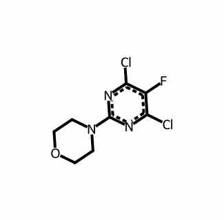 Fc1c(Cl)nc(N2CCOCC2)nc1Cl